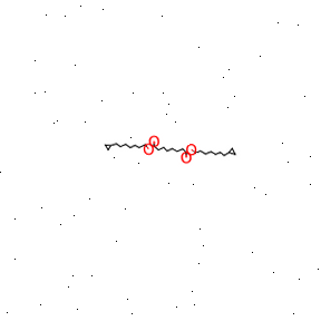 O=C(CCCCCCC(=O)OCCCCCCCC1CC1)OCCCCCCCC1CC1